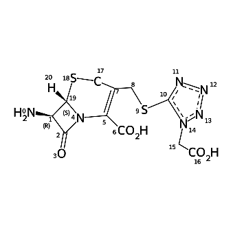 N[C@@H]1C(=O)N2C(C(=O)O)=C(CSc3nnnn3CC(=O)O)CS[C@@H]12